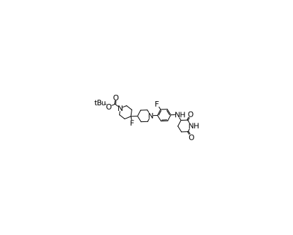 CC(C)(C)OC(=O)N1CCC(F)(C2CCN(c3ccc(NC4CCC(=O)NC4=O)cc3F)CC2)CC1